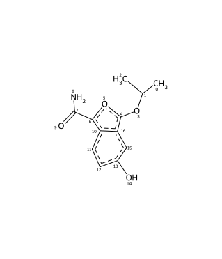 CC(C)Oc1oc(C(N)=O)c2ccc(O)cc12